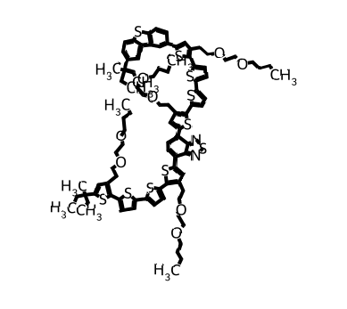 CCCCOCCOCCc1cc(-c2ccc3sc4ccc(C(C)(CC)CC)cc4c3c2)sc1-c1ccc(-c2ccc(-c3sc(-c4ccc(-c5cc(CCOCCOCCCC)c(-c6ccc(-c7ccc(-c8sc(C(C)(CC)CC)cc8CCOCCOCCCC)s7)s6)s5)c5nsnc45)cc3CCOCCOCCCC)s2)s1